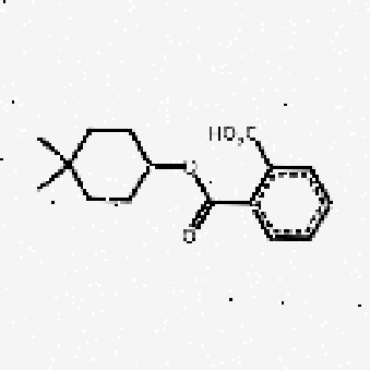 CC1(C)CCC(OC(=O)c2ccccc2C(=O)O)CC1